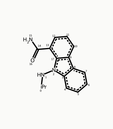 CC(C)Nn1c2ccccc2c2cccc(C(N)=O)c21